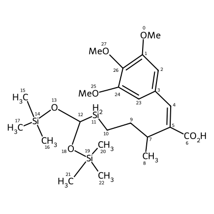 COc1cc(C=C(C(=O)O)C(C)CC[SiH2]C(O[Si](C)(C)C)O[Si](C)(C)C)cc(OC)c1OC